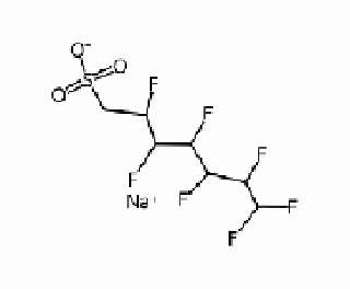 O=S(=O)([O-])CC(F)C(F)C(F)C(F)C(F)C(F)F.[Na+]